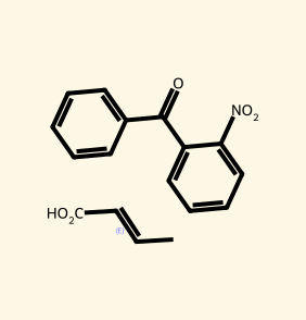 C/C=C/C(=O)O.O=C(c1ccccc1)c1ccccc1[N+](=O)[O-]